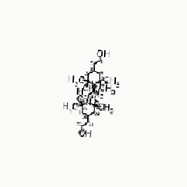 CC1(C)CC(CCO)CC(C)(C)N1CCN1C(C)(C)CC(CCO)CC1(C)C